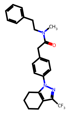 CN(CCc1ccccc1)C(=O)Cc1ccc(-n2nc(C(F)(F)F)c3c2CCCC3)cc1